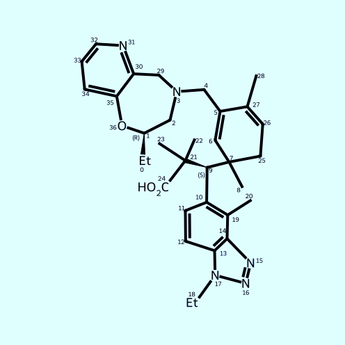 CC[C@@H]1CN(CC2=CC(C)([C@@H](c3ccc4c(nnn4CC)c3C)C(C)(C)C(=O)O)CC=C2C)Cc2ncccc2O1